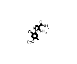 CCOc1cc(Cl)c(-n2ncc(C(N)=O)c2N)cc1C